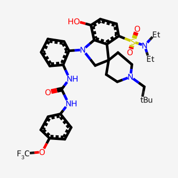 CCN(CC)S(=O)(=O)c1ccc(O)c2c1C1(CCN(CC(C)(C)C)CC1)CN2c1ccccc1NC(=O)Nc1ccc(OC(F)(F)F)cc1